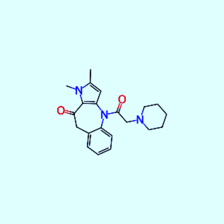 Cc1cc2c(n1C)C(=O)Cc1ccccc1N2C(=O)CN1CCCCC1